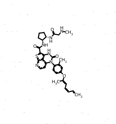 C=C/C=C\C=C(/C)Oc1ccc(N2C(=O)Nc3c(C(=O)N[C@H]4CCC[C@@H]4NC(=O)CNC)sc4nccc2c34)c(C)c1